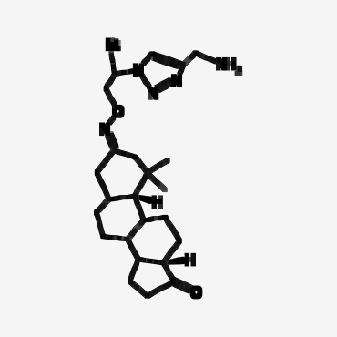 CCC(CON=C1CC2CCC3C(CC[C@@H]4C(=O)CCC34)[C@H]2C(C)(C)C1)n1cc(CN)nn1